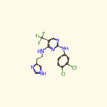 FC(F)(F)c1cnc(Nc2ccc(Cl)c(Cl)c2)nc1NCCc1c[nH]cn1